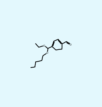 CCCCCOC(OCC)C1=CC=C(C=O)CC1